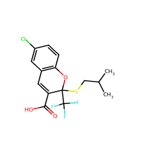 CC(C)CSC1(C(F)(F)F)Oc2ccc(Cl)cc2C=C1C(=O)O